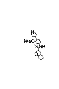 COc1c(-c2ccncc2)ccc2[nH]c(C3COc4ccccc4C3)nc12